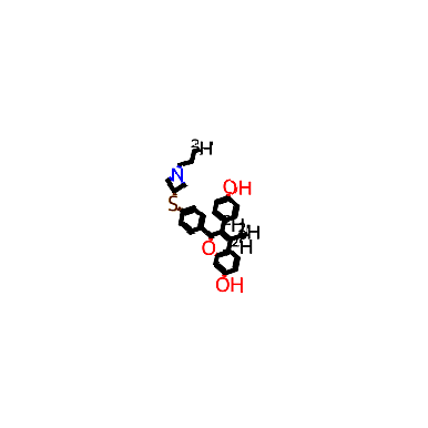 [2H]CCCN1CC(Sc2ccc(C3Oc4cc(O)ccc4C(C([2H])([2H])[2H])=C3c3ccc(O)cc3)cc2)C1